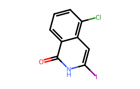 O=c1[nH]c(I)cc2c(Cl)cccc12